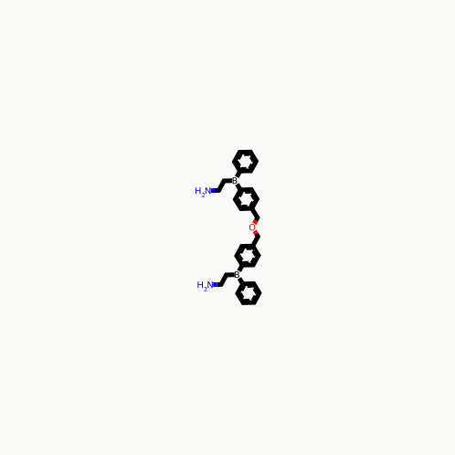 NCCB(c1ccccc1)c1ccc(COCc2ccc(B(CCN)c3ccccc3)cc2)cc1